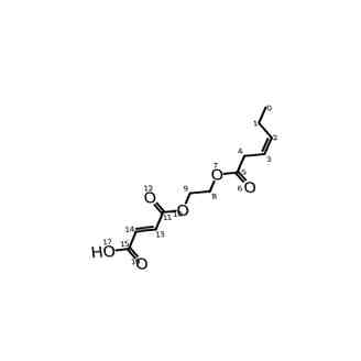 CC/C=C\CC(=O)OCCOC(=O)/C=C/C(=O)O